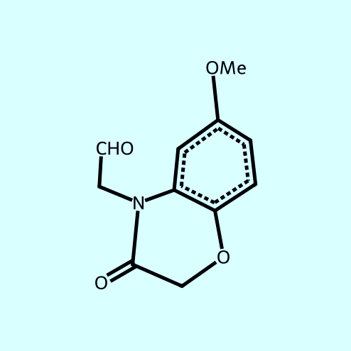 COc1ccc2c(c1)N(CC=O)C(=O)CO2